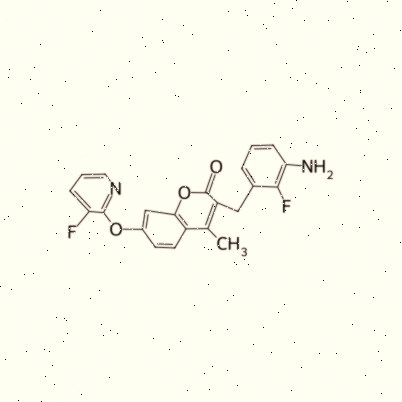 Cc1c(Cc2cccc(N)c2F)c(=O)oc2cc(Oc3ncccc3F)ccc12